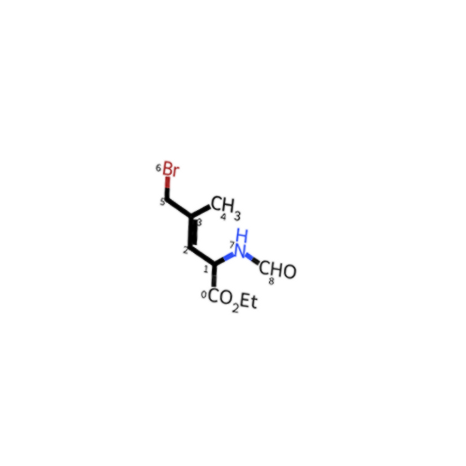 CCOC(=O)C(/C=C(\C)CBr)NC=O